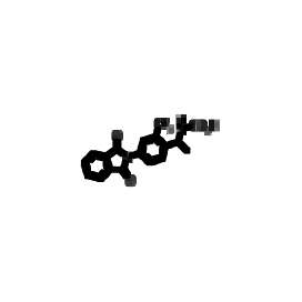 CC(NC(=O)O)c1ccc(N2C(=O)c3ccccc3C2=O)cc1C(F)(F)F